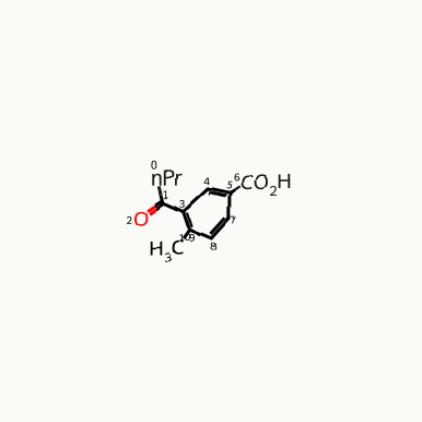 CCCC(=O)c1cc(C(=O)O)ccc1C